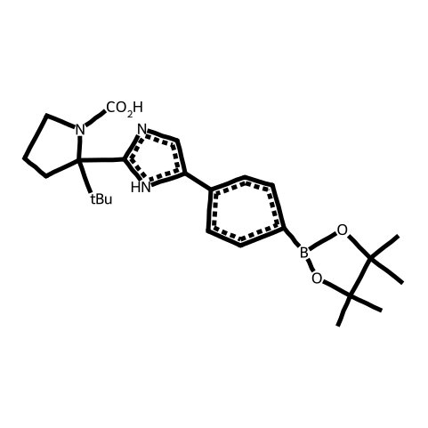 CC(C)(C)C1(c2ncc(-c3ccc(B4OC(C)(C)C(C)(C)O4)cc3)[nH]2)CCCN1C(=O)O